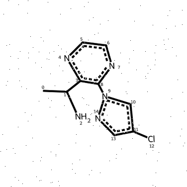 CC(N)c1nccnc1-n1cc(Cl)cn1